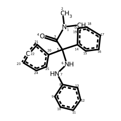 CN(C)C(=O)C(NNc1ccccc1)(c1ccccc1)c1ccccc1